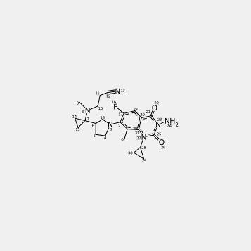 Cc1c(N2CCC(C3(N(C)CCC#N)CC3)C2)c(F)cc2c(=O)n(N)c(=O)n(C3CC3)c12